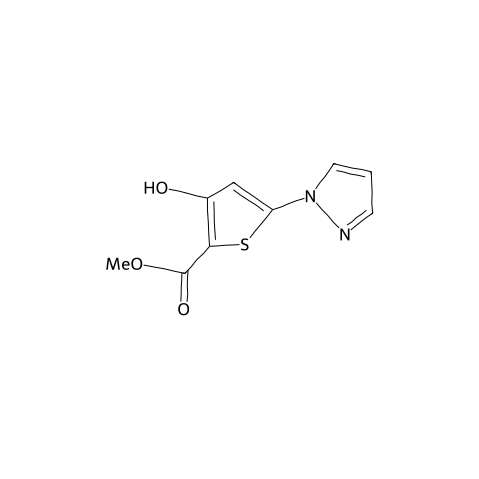 COC(=O)c1sc(-n2cccn2)cc1O